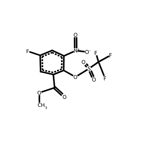 COC(=O)c1cc(F)cc([N+](=O)[O-])c1OS(=O)(=O)C(F)(F)F